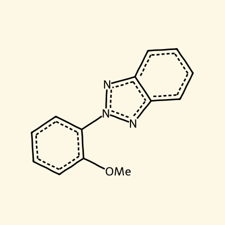 COc1ccccc1-n1nc2ccccc2n1